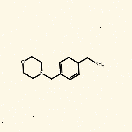 NCC1C=CC(CN2CCOCC2)=CC1